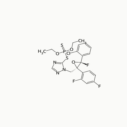 CCOP(=S)(OCC)Sc1ncnn1C[C@]1(c2ccc(F)cc2F)O[C@]1(F)c1ccccc1Cl